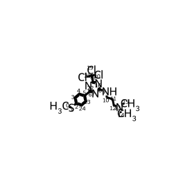 CSc1ccc(-c2nc(NCCCN(C)C)nc(C(Cl)(Cl)Cl)n2)cc1